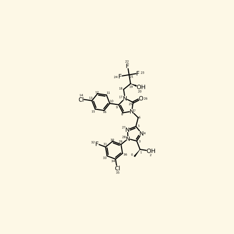 C[C@H](O)c1nc(Cn2cc(-c3ccc(Cl)cc3)n(C[C@H](O)C(F)(F)F)c2=O)nn1-c1cc(F)cc(Cl)c1